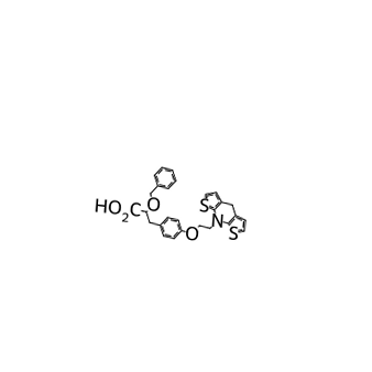 O=C(O)C(Cc1ccc(OCCN2c3sccc3Cc3ccsc32)cc1)OCc1ccccc1